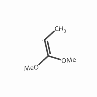 C[C]=C(OC)OC